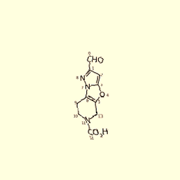 O=Cc1cc2oc3c(n2n1)CCN(C(=O)O)C3